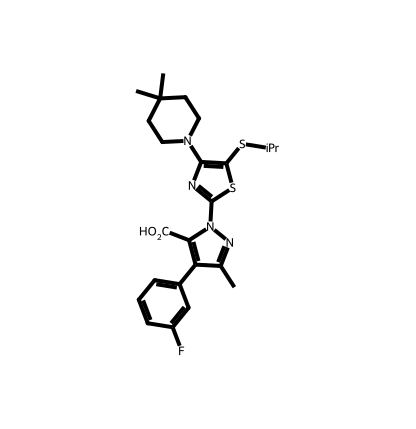 Cc1nn(-c2nc(N3CCC(C)(C)CC3)c(SC(C)C)s2)c(C(=O)O)c1-c1cccc(F)c1